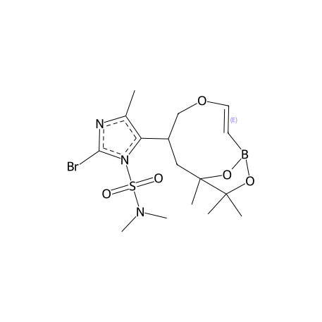 Cc1nc(Br)n(S(=O)(=O)N(C)C)c1C1CO/C=C/B2OC(C)(C)C(C)(C1)O2